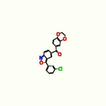 O=C(c1ccc2c(c1)OCCO2)c1ccc2noc(-c3cccc(Cl)c3)c2c1